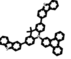 CC1(C)c2cc(-c3ccc4sc5ccccc5c4c3)ccc2N(c2ccc3c4ccccc4c4ccccc4c3c2)c2ccc(-c3ccc4sc5ccccc5c4c3)cc21